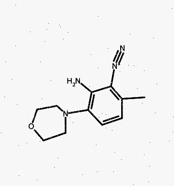 Cc1ccc(N2CCOCC2)c(N)c1[N+]#N